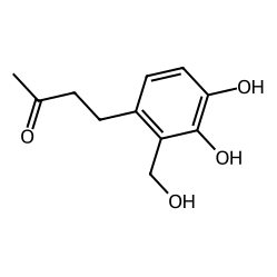 CC(=O)CCc1ccc(O)c(O)c1CO